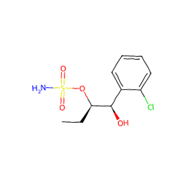 CC[C@@H](OS(N)(=O)=O)[C@H](O)c1ccccc1Cl